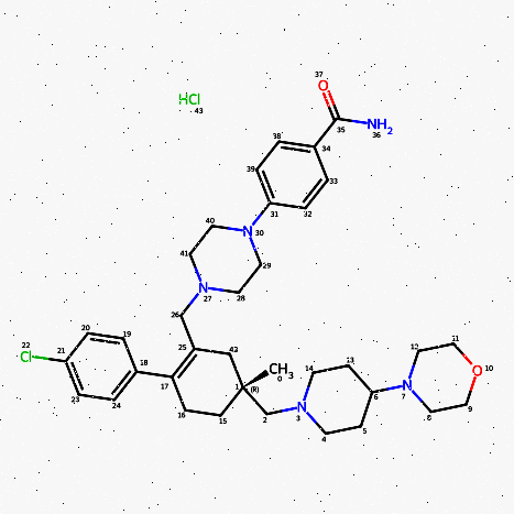 C[C@@]1(CN2CCC(N3CCOCC3)CC2)CCC(c2ccc(Cl)cc2)=C(CN2CCN(c3ccc(C(N)=O)cc3)CC2)C1.Cl